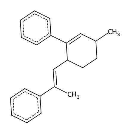 C/C(=C\C1CCC(C)C=C1c1ccccc1)c1ccccc1